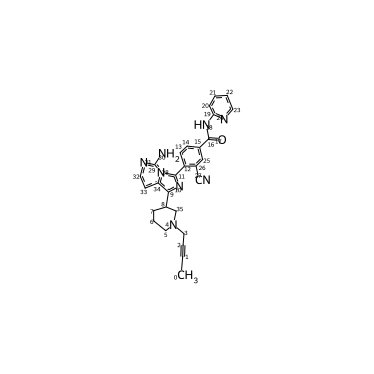 CC#CCN1CCCC(c2nc(-c3ccc(C(=O)Nc4ccccn4)cc3C#N)n3c(N)nccc23)C1